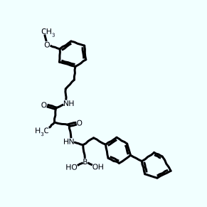 COc1cccc(CCNC(=O)C(C)C(=O)NC(Cc2ccc(-c3ccccc3)cc2)B(O)O)c1